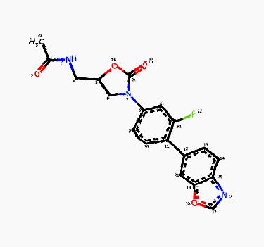 CC(=O)NCC1CN(c2ccc(-c3ccc4ncoc4c3)c(F)c2)C(=O)O1